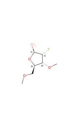 B[C@@H]1O[C@H](COC)[C@@H](OC)[C@H]1F